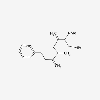 C=C(CCc1ccccc1)C(C)CC(=C)C(CC(C)C)NC